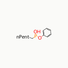 CCCCCCP(O)Oc1ccccc1